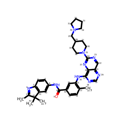 CC1=Nc2ccc(NC(=O)c3ccc(C)c(Nc4ncnc5cnc(N6CCC(CN7CCCC7)CC6)nc45)c3)cc2C1(C)C